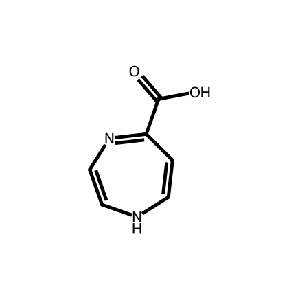 O=C(O)C1=NC=CNC=C1